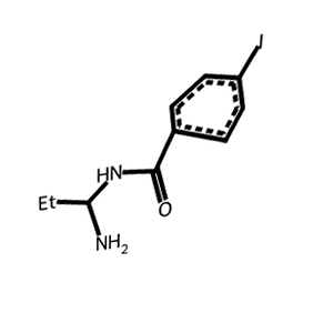 CCC(N)NC(=O)c1ccc(I)cc1